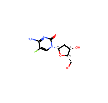 Nc1nc(=O)n([C@@H]2C[C@H](O)[C@H](CO)O2)cc1F